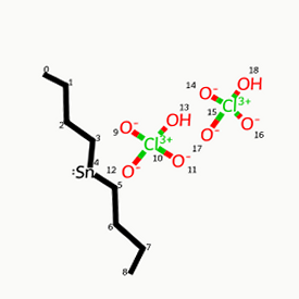 CCC[CH2][Sn][CH2]CCC.[O-][Cl+3]([O-])([O-])O.[O-][Cl+3]([O-])([O-])O